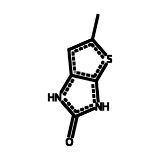 Cc1cc2[nH]c(=O)[nH]c2s1